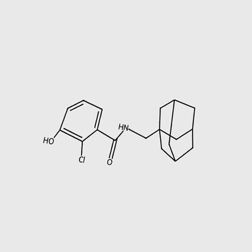 O=C(NCC12CC3CC(CC(C3)C1)C2)c1cccc(O)c1Cl